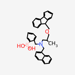 CC(COCC1c2ccccc2-c2ccccc21)CN(Cc1ccccc1B(O)O)Cc1cccc2ccccc12